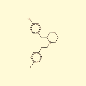 Fc1ccc(CCN2CCCCC2Cc2ccc(Cl)cc2)cc1